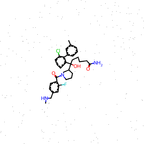 CNCc1ccc(C(=O)N2CCCC(C(O)(CCCCC(N)=O)c3cccc(Cl)c3-c3cccc(C)c3)C2)c(F)c1